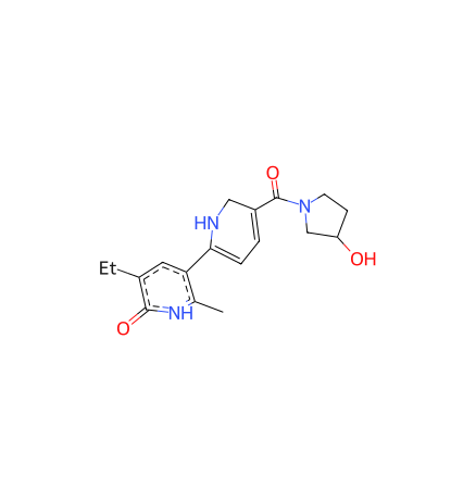 CCc1cc(C2=CC=C(C(=O)N3CCC(O)C3)CN2)c(C)[nH]c1=O